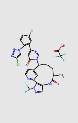 C[C@@H]1CCC[C@H](n2cnc(-c3cc(Cl)ccc3-n3cc(Cl)nn3)cc2=O)c2ccnc(c2)-c2c(cnn2C(F)F)NC1=O.O=C(O)C(F)(F)F